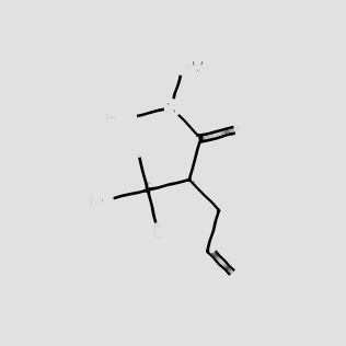 C=CCC(C(=O)N(C)OC)C(C)(C)CC